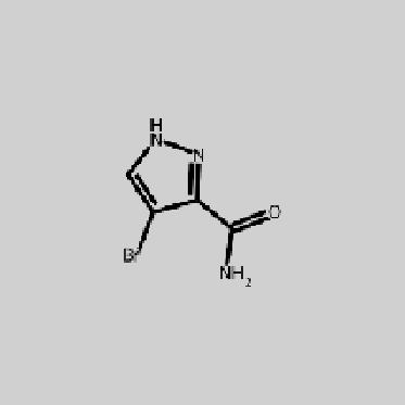 NC(=O)c1n[nH]cc1Br